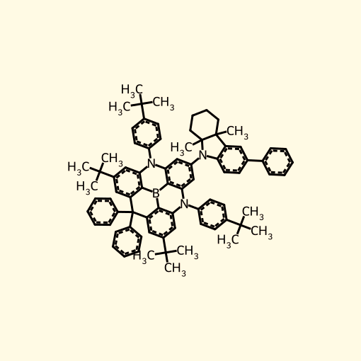 CC(C)(C)c1ccc(N2c3cc(N4c5ccc(-c6ccccc6)cc5C5(C)CCCCC45C)cc4c3B3c5c2cc(C(C)(C)C)cc5C(c2ccccc2)(c2ccccc2)c2cc(C(C)(C)C)cc(c23)N4c2ccc(C(C)(C)C)cc2)cc1